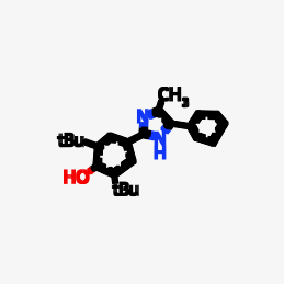 Cc1nc(-c2cc(C(C)(C)C)c(O)c(C(C)(C)C)c2)[nH]c1-c1ccccc1